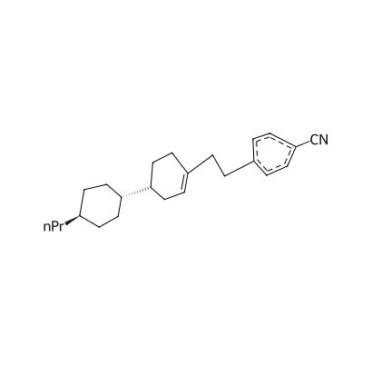 CCC[C@H]1CC[C@H](C2CC=C(CCc3ccc(C#N)cc3)CC2)CC1